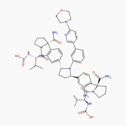 CC(C)[C@H](NC(=O)O)C(=O)N1CCC[C@@]1(C(N)=O)c1ccc([C@H]2CC[C@H](c3ccc([C@]4(C(N)=O)CCCN4C(=O)[C@@H](NC(=O)O)C(C)C)c(N)c3)N2c2cccc(-c3ccc(N4CCOCC4)nc3)c2)cc1N